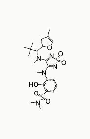 CC1=COC([C@H](N(C)C2=NS(=O)(=O)N=C2N(C)c2cccc(S(=O)(=O)N(C)C)c2O)C(C)(C)C)C1